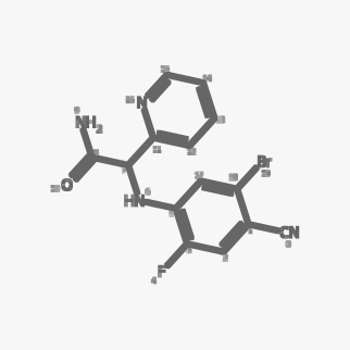 N#Cc1cc(F)c(NC(C(N)=O)c2ccccn2)cc1Br